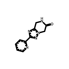 O=C1Cn2nc(-c3ccccn3)nc2CN1